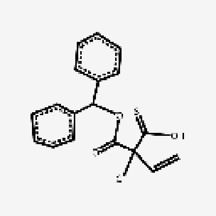 C=CC(Cl)(C(=O)OC(c1ccccc1)c1ccccc1)C(O)=S